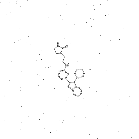 O=C1NCCN1CCNc1nccc(-c2sc3ccccc3c2-c2ccccc2)n1